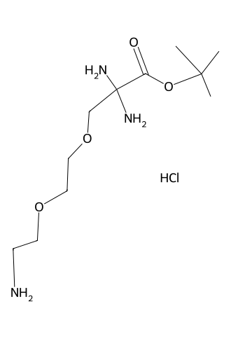 CC(C)(C)OC(=O)C(N)(N)COCCOCCN.Cl